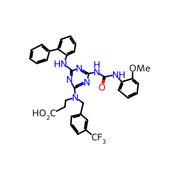 COc1ccccc1NC(=O)Nc1nc(Nc2ccccc2-c2ccccc2)nc(N(CCC(=O)O)Cc2cccc(C(F)(F)F)c2)n1